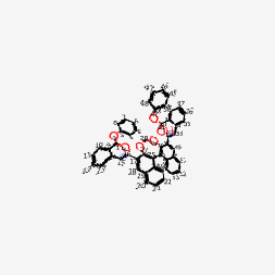 O=C(Oc1ccccc1)c1ccccc1/C=C/c1cc2ccccc2c2c1OCOc1c(/C=C/c3ccccc3C(O)Oc3ccccc3)cc3ccccc3c1-2